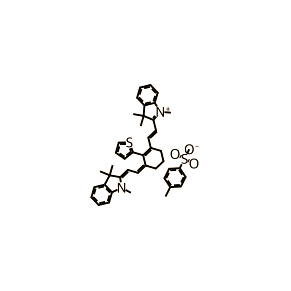 CN1/C(=C\C=C2\CCCC(/C=C/C3=[N+](C)c4ccccc4C3(C)C)=C2c2cccs2)C(C)(C)c2ccccc21.Cc1ccc(S(=O)(=O)[O-])cc1